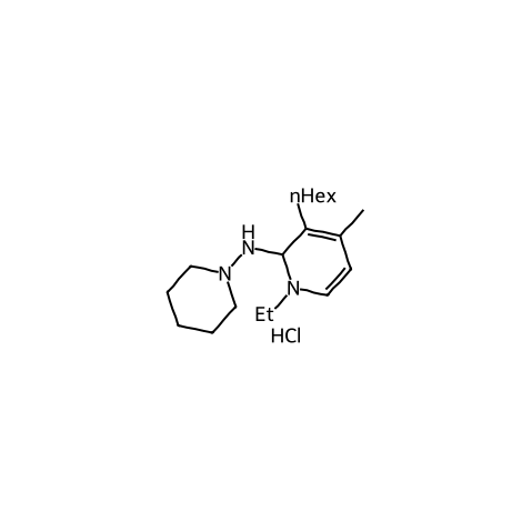 CCCCCCC1=C(C)C=CN(CC)C1NN1CCCCC1.Cl